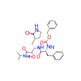 CC(C)NC(=O)C(O)[C@H](CC1CCNC1=O)NC(=O)[C@H](Cc1ccccc1)NC(=O)OCc1ccccc1